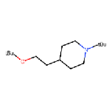 CC(C)(C)OCCC1CCN(C(C)(C)C)CC1